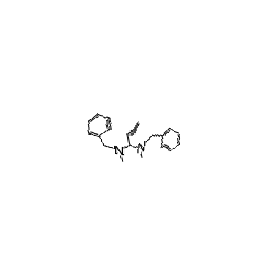 C=CC(N(C)Cc1ccccc1)N(C)Cc1ccccc1